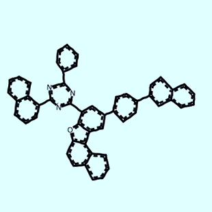 c1ccc(-c2nc(-c3cccc4ccccc34)nc(-c3cc(-c4ccc(-c5ccc6ccccc6c5)cc4)cc4c3oc3ccc5ccccc5c34)n2)cc1